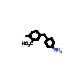 Cc1ccc(Cc2ccc(N)cc2)cc1C(=O)O